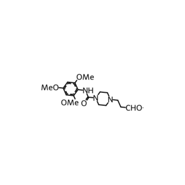 COc1cc(OC)c(NC(=O)N2CCN(CC[C]=O)CC2)c(OC)c1